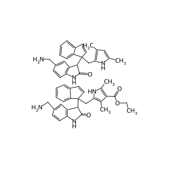 CCOC(=O)c1c(C)[nH]c(CC2(C3C(=O)Nc4ccc(CN)cc43)C=Cc3ccccc32)c1C.Cc1cc(C)c(CC2(C3C(=O)Nc4ccc(CN)cc43)C=Cc3ccccc32)[nH]1